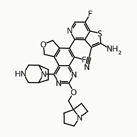 N#Cc1c(N)sc2c(F)cnc(-c3c4c(c5c(N6C7CCC6CNC7)nc(OCC67CCCN6CC7)nc5c3F)COC4)c12